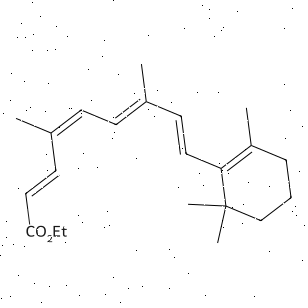 CCOC(=O)C=CC(C)=CC=C(C)C=CC1=C(C)CCCC1(C)C